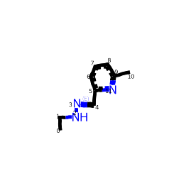 CCN/N=C/c1cccc(C)n1